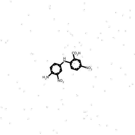 Nc1ccc(Nc2ccc([N+](=O)[O-])cc2C(=O)O)cc1[N+](=O)[O-]